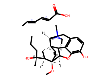 C/C=C/C=C/C(=O)O.CCC[C@@](C)(O)[C@H]1C[C@@]23C=C[C@]1(OC)[C@@H]1Oc4c(O)ccc5c4[C@@]12CCN(C)[C@@H]3C5